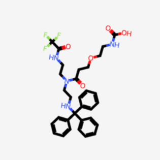 O=C(O)NCCOCCC(=O)N(CCNC(=O)C(F)(F)F)CCNC(c1ccccc1)(c1ccccc1)c1ccccc1